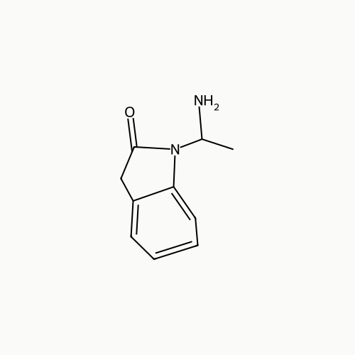 CC(N)N1C(=O)Cc2ccccc21